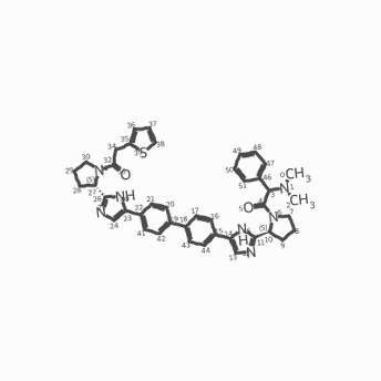 CN(C)C(C(=O)N1CCC[C@H]1c1ncc(-c2ccc(-c3ccc(-c4cnc([C@@H]5CCCN5C(=O)Cc5cccs5)[nH]4)cc3)cc2)[nH]1)c1ccccc1